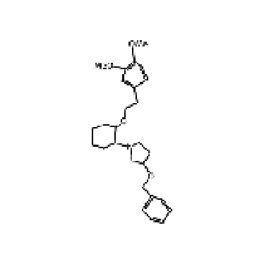 [13CH3]Oc1ccc(CCOC2CCCCC2N2CC[C@@H](OCc3ccccc3)C2)cc1O[13CH3]